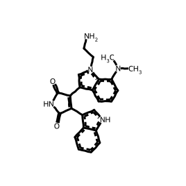 CN(C)c1cccc2c(C3=C(c4c[nH]c5ccccc45)C(=O)NC3=O)cn(CCN)c12